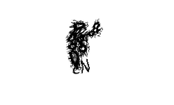 CC1(C)c2ccccc2-c2cc(-c3nc(C4=c5oc6ccccc6c5=CCC4c4ccc(-c5ccc(C#N)cc5)cc4)nc(-c4ccccc4)n3)ccc21